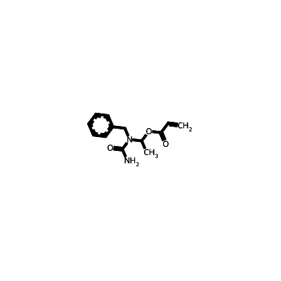 C=CC(=O)OC(C)N(Cc1ccccc1)C(N)=O